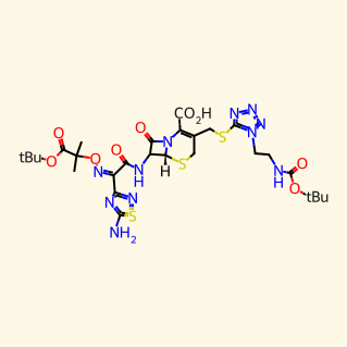 CC(C)(C)OC(=O)NCCn1nnnc1SCC1=C(C(=O)O)N2C(=O)C(NC(=O)/C(=N\OC(C)(C)C(=O)OC(C)(C)C)c3nsc(N)n3)[C@H]2SC1